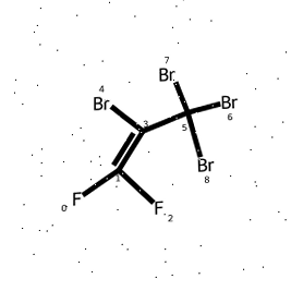 FC(F)=C(Br)C(Br)(Br)Br